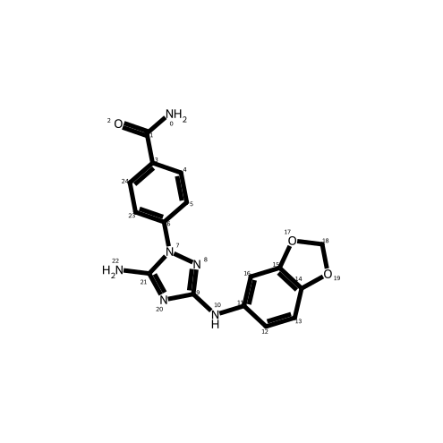 NC(=O)c1ccc(-n2nc(Nc3ccc4c(c3)OCO4)nc2N)cc1